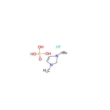 CCCCN1C=CN(C)C1.F.O=P(O)(O)O